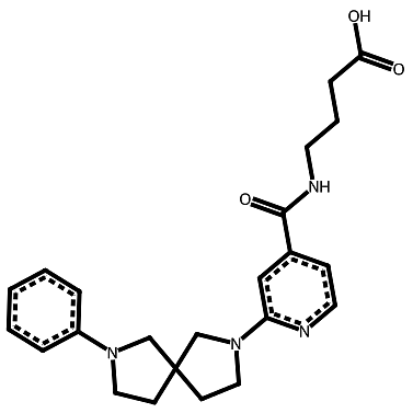 O=C(O)CCCNC(=O)c1ccnc(N2CCC3(CCN(c4ccccc4)C3)C2)c1